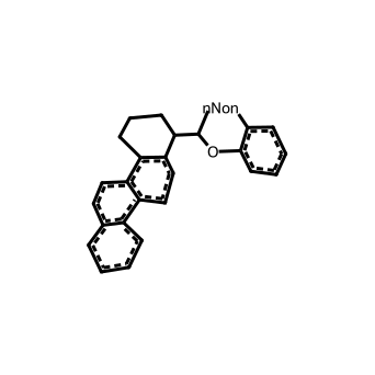 CCCCCCCCCc1ccccc1OC(C)C1CCCc2c1ccc1c2ccc2ccccc21